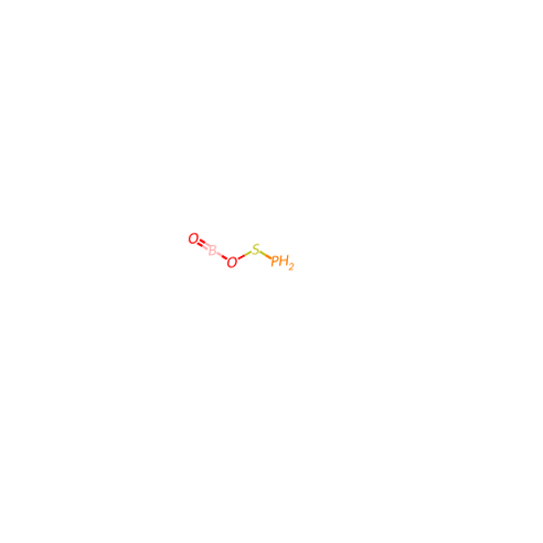 O=BOSP